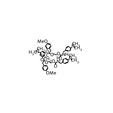 COc1ccc(CC(C)(OCCOC(=O)NCc2ccc(N(C)C)cc2)Oc2cc(OC(C)(Cc3ccc(OC)cc3)OCCOC(=O)NCc3ccc(N(C)C)cc3)cc(N(C)C)c2)cc1